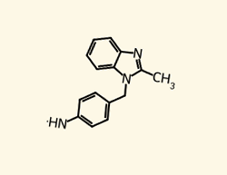 Cc1nc2ccccc2n1Cc1ccc([NH])cc1